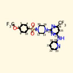 O=S(=O)(c1ccc(OC(F)(F)F)cc1)N1CCN(c2nc(Nc3ccccn3)cc(C(F)(F)F)n2)CC1